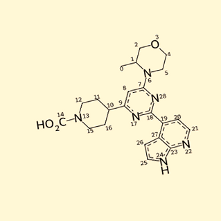 CC1COCCN1c1cc(C2CCN(C(=O)O)CC2)nc(-c2ccnc3[nH]ccc23)n1